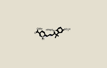 CCCCCCC[N+]1=C(/C=C/C=C2\C=CC(C(=O)OC)=CN2CC)C(C)(C)c2cc(S(=O)(=O)O)ccc21